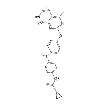 C=N/C=C\c1c(C)nc(Oc2ccc(N(C)c3ccc(NC(=O)C4CC4)cc3)cc2)nc1O